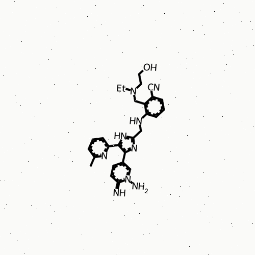 CCN(CCO)Cc1c(C#N)cccc1NCc1nc(-c2ccc(=N)n(N)c2)c(-c2cccc(C)n2)[nH]1